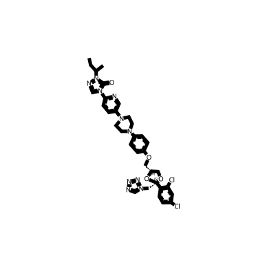 CCC(C)n1ncn(-c2ccc(N3CCN(c4ccc(OC[C@@H]5CO[C@@](Cn6cnnn6)(c6ccc(Cl)cc6Cl)O5)cc4)CC3)cn2)c1=O